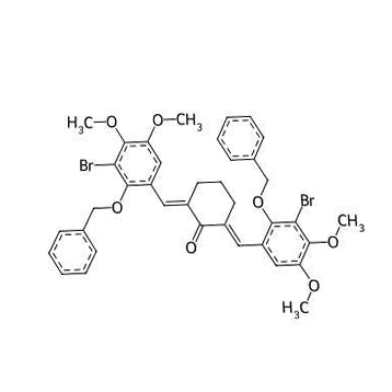 COc1cc(/C=C2\CCC/C(=C\c3cc(OC)c(OC)c(Br)c3OCc3ccccc3)C2=O)c(OCc2ccccc2)c(Br)c1OC